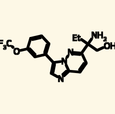 CCC(N)(CO)c1ccc2ncc(-c3cccc(OC(F)(F)F)c3)n2n1